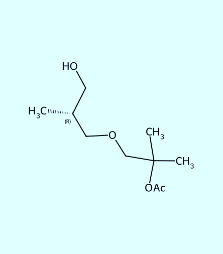 CC(=O)OC(C)(C)COC[C@H](C)CO